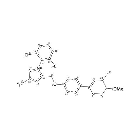 COC1C=CC(c2ccc(OCc3cc(C(F)(F)F)nn3-c3c(Cl)cccc3Cl)cc2)=CC1F